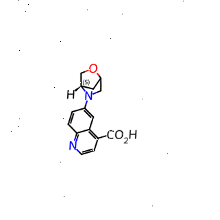 O=C(O)c1ccnc2ccc(N3CC4C[C@H]3CO4)cc12